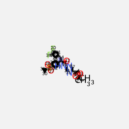 CC1(C)OC[C@@H](c2cnc(NC(=O)/C(=C/[C@H]3C[C@@H](F)[C@@H](F)C3)c3ccc(S(=O)(=O)C4CC4)cc3)cn2)O1